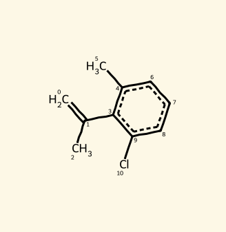 C=C(C)c1c(C)cccc1Cl